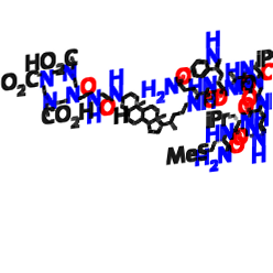 CSCC[C@H](NC(=O)[C@H](CC(C)C)NC(=O)[C@H](Cc1c[nH]cn1)NC(=O)CNC(=O)[C@@H](NC(=O)[C@H](C)NC(=O)[C@H](Cc1c[nH]c2ccccc12)NC(=O)[C@H](CCC(N)=O)NCCC[C@@H](C)[C@H]1CCC2C3CC[C@@H]4C[C@@H](NC(=O)CNC(=O)CN5CCN(CC(=O)O)CCN(CC(=O)O)CCN(CC(=O)O)CC5)CC[C@]4(C)C3CC[C@@]21C)C(C)C)C(N)=O